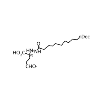 CCCCCCCCCCCCCCCCCCCC(=O)NN[C@@H](CC[C]=O)C(=O)O